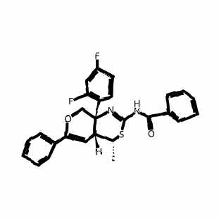 C[C@H]1SC(NC(=O)c2ccccc2)=N[C@@]2(c3ccc(F)cc3F)COC(c3ccccc3)=C[C@@H]12